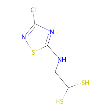 SC(S)CNc1nc(Cl)ns1